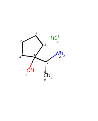 C[C@@H](N)C1(O)CCCC1.Cl